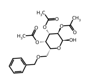 CC(=O)O[C@@H]1[C@@H](OC(C)=O)[C@@H](O)O[C@H](COCc2ccccc2)[C@@H]1OC(C)=O